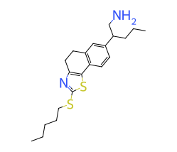 CCCCCSc1nc2c(s1)-c1ccc(C(CN)CCC)cc1CC2